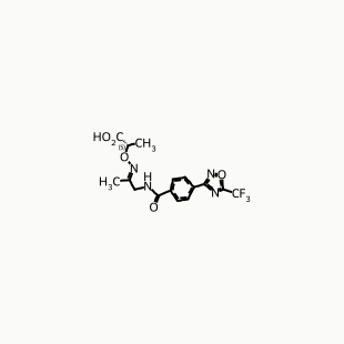 CC(CNC(=O)c1ccc(-c2noc(C(F)(F)F)n2)cc1)=NO[C@@H](C)C(=O)O